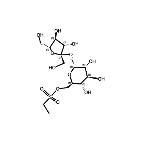 CCS(=O)(=O)OC[C@H]1O[C@H](O[C@]2(CO)O[C@H](CO)[C@@H](O)[C@@H]2O)[C@H](O)[C@@H](O)[C@@H]1O